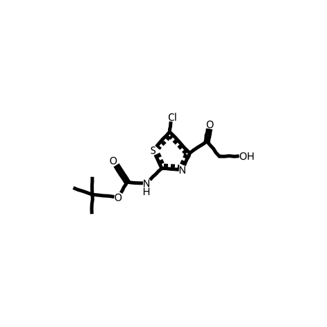 CC(C)(C)OC(=O)Nc1nc(C(=O)CO)c(Cl)s1